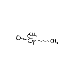 CCCCCCCCCC1(F)C=CC(C#Cc2ccccc2)=C(OC)C1F